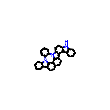 c1ccc2c(c1)[nH]c1ccc3c(c4ccc5ccc6c7ccccc7n7c8ccccc8n3c4c5c67)c12